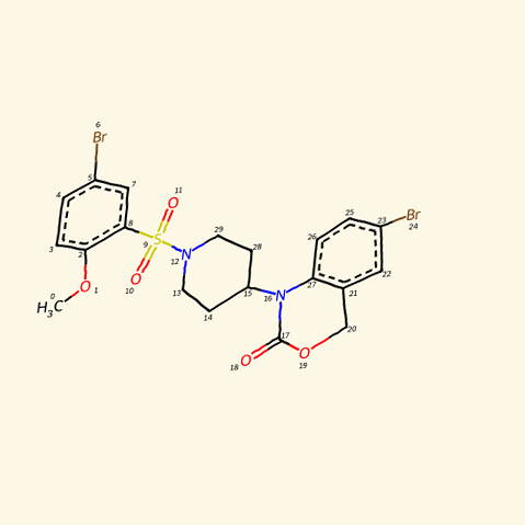 COc1ccc(Br)cc1S(=O)(=O)N1CCC(N2C(=O)OCc3cc(Br)ccc32)CC1